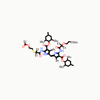 CCC(=O)OCCSC(CC)(CC)C(=O)Nc1[nH]c(/C=C2\N=C(NC(=O)C(CC)(CC)OCCOC)C(C(=O)OC3C(C(C)(C)C)CC(C)CC3C(C)(C)C)=C2C(C)C)c(C(C)C)c1C(=O)OC1C(C(C)(C)C)CC(C)CC1C(C)(C)C